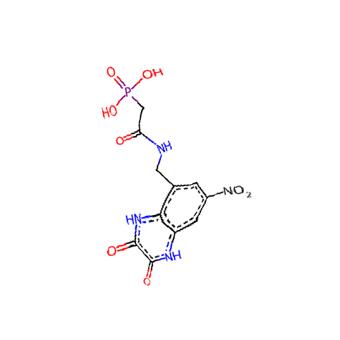 O=C(CP(=O)(O)O)NCc1cc([N+](=O)[O-])cc2[nH]c(=O)c(=O)[nH]c12